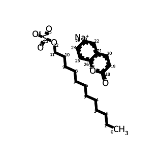 CCCCCCCCCCCCOS(=O)(=O)[O-].O=c1ccc2ccccc2o1.[Na+]